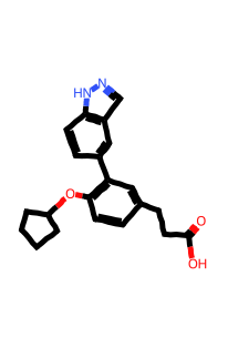 O=C(O)CCc1ccc(OC2CCCC2)c(-c2ccc3[nH]ncc3c2)c1